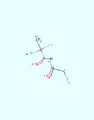 O=C(CF)NC(=O)C(F)(F)C(F)(F)F